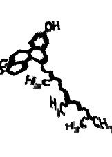 CC(C)=CCC/C(C)=C/CC/C(C)=C/C[C@@H]1Cc2cc(O)ccc2C2CC[C@@]3(C)C(CC[C@@H]3O)C21